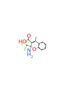 CC1=C(C(=O)O)C(N)(C(F)(F)F)Oc2ccccc21